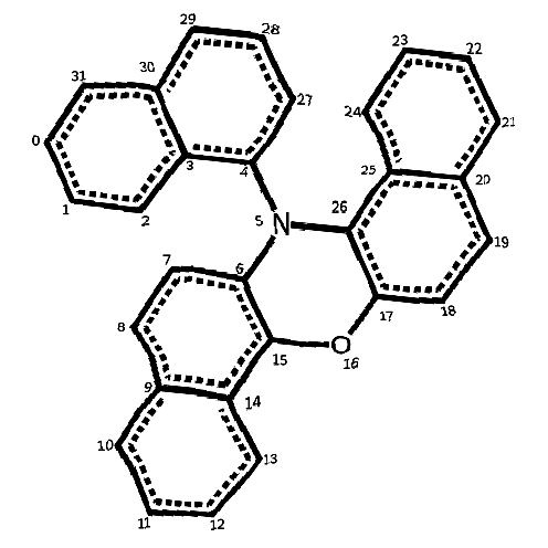 c1ccc2c(N3c4ccc5ccccc5c4Oc4ccc5ccccc5c43)cccc2c1